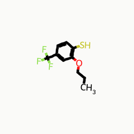 CCCOc1cc(C(F)(F)F)ccc1S